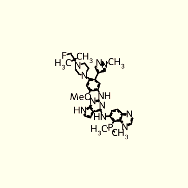 COc1cc(N2CCN(C(C)(C)CF)CC2)c(-c2cnn(C)c2)cc1Nc1nc(Nc2ccc3nccnc3c2P(C)C)c2cc[nH]c2n1